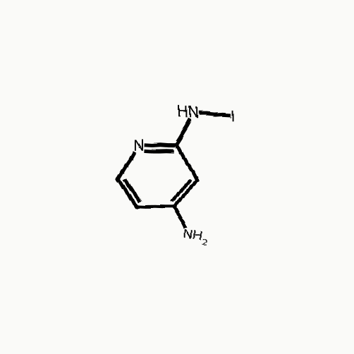 Nc1ccnc(NI)c1